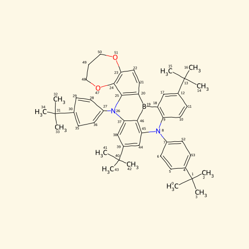 CC(C)(C)c1ccc(N2c3ccc(C(C)(C)C)cc3B3c4ccc5c(c4N(c4ccc(C(C)(C)C)cc4)c4cc(C(C)(C)C)cc2c43)OCCCO5)cc1